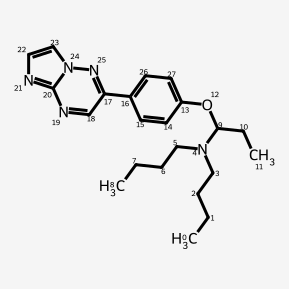 CCCCN(CCCC)C(CC)Oc1ccc(-c2cnc3nccn3n2)cc1